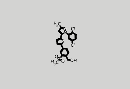 CS(=O)(=O)c1cc(-c2ccc(-c3cc(C(F)(F)F)nn3-c3cc(Cl)ccc3Cl)s2)ccc1CO